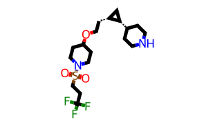 O=S(=O)(CCC(F)(F)F)N1CCC(OCC[C@@H]2C[C@@H]2C2CCNCC2)CC1